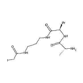 CC(C)[C@@H](NC(=O)[C@@H](C)N)C(=O)NCCCNC(=O)CI